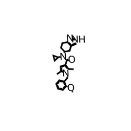 COc1ccccc1Cn1c(C)cc(C(=O)N(C2CC2)C2CCc3n[nH]cc3C2)c1C